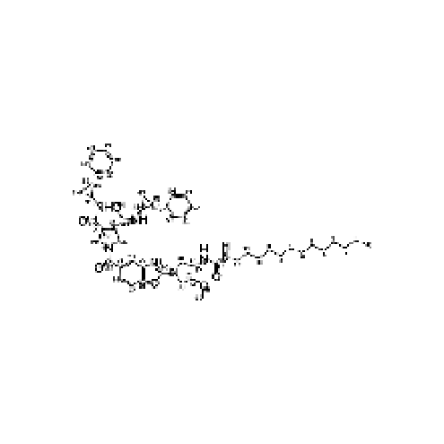 CCCCCCCCCCCCCNC(=O)N[C@H]1CN(c2nc3cc(C(=O)N4C[C@@H](C(=O)NC5C[C@@H]5c5ccccc5)[C@H](C(=O)N[C@H]5C[C@@H]5c5ccccc5)C4)ccc3o2)C[C@@H]1OC